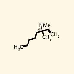 C=CCCC[C@@](C)(C=C)NC